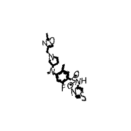 Cc1nc(CN2CCC(N(C)c3cc(F)c(S(=O)(=O)Nc4cscn4)cc3C)C2)co1